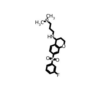 CN(C)CCCNC1CCOc2cc(S(=O)(=O)c3cccc(F)c3)ccc21